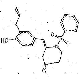 C=CCc1cc(C=C2CC(=O)CCN2S(=O)(=O)c2ccccc2)ccc1O